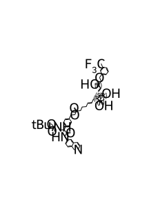 CC(C)(C)OC(=O)NCC(C(=O)Nc1ccc2cnccc2c1)c1ccc(COC(=O)CCCC=CC[C@@H]2[C@H](C=C[C@@H](O)COc3cccc(C(F)(F)F)c3)[C@H](O)C[C@H]2O)cc1